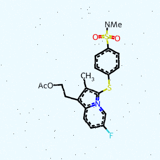 CNS(=O)(=O)c1ccc(Sc2c(C)c(CCOC(C)=O)c3ccc(F)cn23)cc1